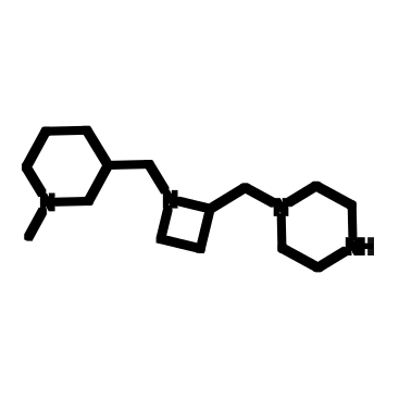 CN1CCCC(CN2CCC2CN2CCNCC2)C1